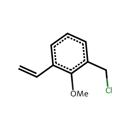 C=Cc1cccc(CCl)c1OC